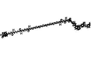 O=C(CCCCCNC(=O)CCCC[C@@H]1SC[C@@H]2NC(=O)N[C@@H]21)NCCCCCC(=O)NCCOCCOCCOCCOCCOCCOCCOCCOCCNC(=O)CCC(=O)NCCS(=O)(=O)CCNCc1ccc(-c2ccc3ncnc(Nc4ccc(OCc5cccc(F)c5)c(Cl)c4)c3c2)o1